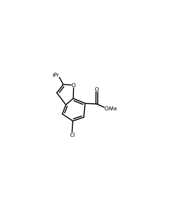 COC(=O)c1cc(Cl)cc2cc(C(C)C)oc12